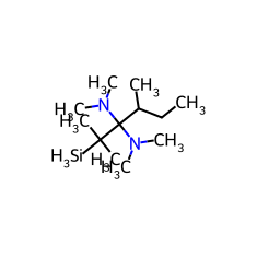 CCC(C)C(N(C)C)(N(C)C)C(C)(C)[SiH3]